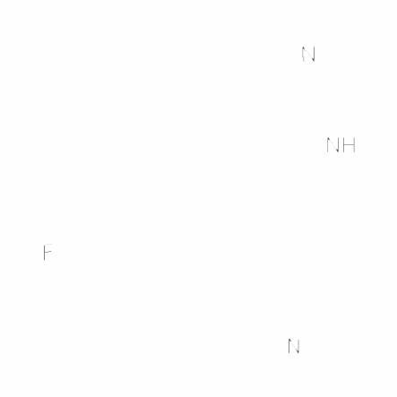 Cc1c(F)cccc1C(c1ccncc1)c1cnc[nH]1